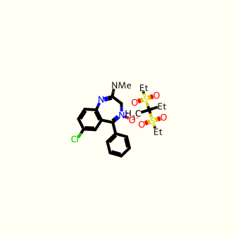 CCC(C)(S(=O)(=O)CC)S(=O)(=O)CC.CNC1=Nc2ccc(Cl)cc2C(c2ccccc2)=[N+]([O-])C1